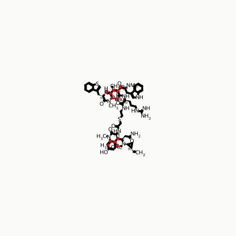 C=C[C@H]1C[C@@H]1N(C=O)[C@H](CC(N)=O)NC(=O)[C@H](C)N(C)C(=O)[C@H](Cc1ccc(O)cc1)NC(=O)CSCCNC(=O)[C@H](CCCNC(=N)N)NC(=O)[C@H](CCCC)N(C)C(=O)[C@H](CCCC)N(C)C(=O)[C@H](Cc1csc2ccccc12)NC(=O)CNC(=O)[C@H](Cc1c[nH]c2ccccc12)NC